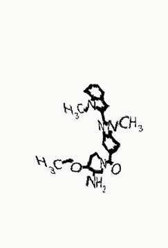 CCOC1CCN(C(=O)c2ccc3c(c2)nc(-c2cc4ccccc4n2CC)n3C)CC1N